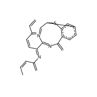 C=CC(=C)\C=C/C(=N\C(=C)/C=C\C)C1=N/C(=C)c2ccc3cc2SC3/C=N\1